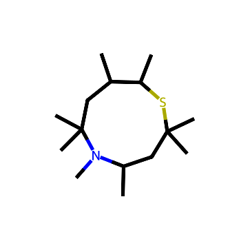 CC1CC(C)(C)N(C)C(C)CC(C)(C)SC1C